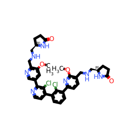 COc1cc(-c2nccc(-c3cccc(-c4ccc(CNC[C@H]5CCC(=O)N5)c(OC)n4)c3Cl)c2Cl)cnc1CNC[C@H]1CCC(=O)N1